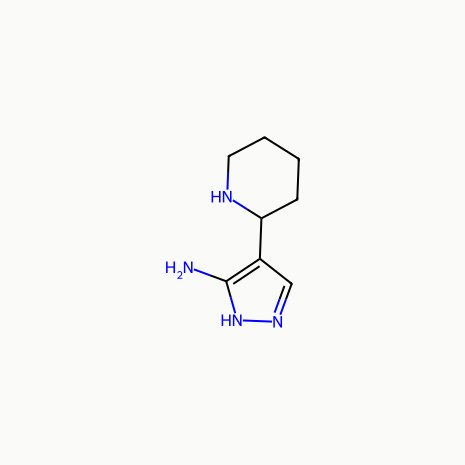 Nc1[nH]ncc1C1CCCCN1